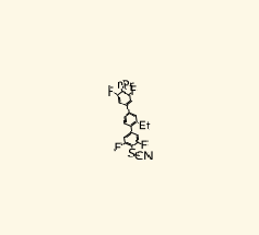 CCCc1c(F)cc(-c2ccc(-c3cc(F)c(SC#N)c(F)c3)c(CC)c2)cc1F